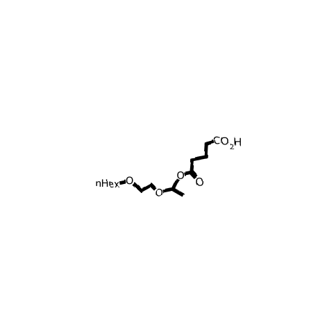 CCCCCCOCCOC(C)OC(=O)CCCC(=O)O